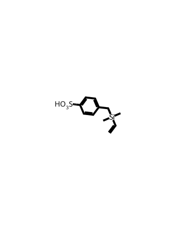 C=C[Si](C)(C)Cc1ccc(S(=O)(=O)O)cc1